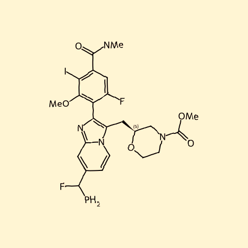 CNC(=O)c1cc(F)c(-c2nc3cc(C(F)P)ccn3c2C[C@H]2CN(C(=O)OC)CCO2)c(OC)c1I